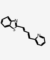 C(C=Cc1nc2ccccc2s1)=Cc1ccccn1